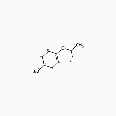 CC(I)OC1=CCC(C(C)(C)C)CC1